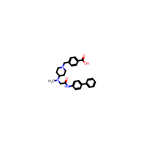 CN(CC(=O)Nc1ccc(-c2ccccc2)cc1)C1CCN(Cc2ccc(C(=O)O)cc2)CC1